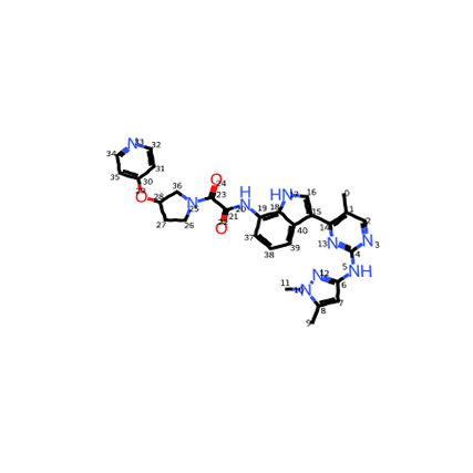 Cc1cnc(Nc2cc(C)n(C)n2)nc1-c1c[nH]c2c(NC(=O)C(=O)N3CCC(Oc4ccncc4)C3)cccc12